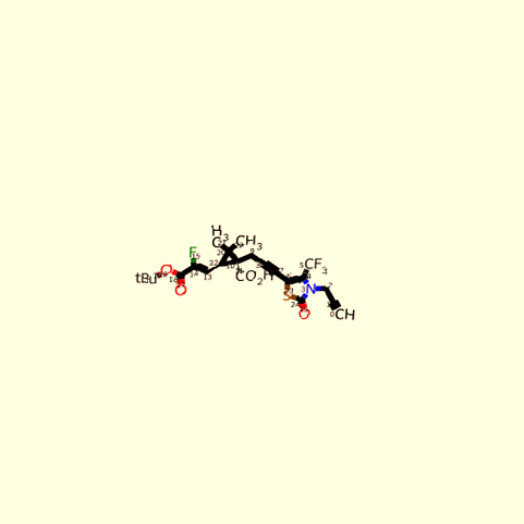 C#CCn1c(C(F)(F)F)c(C#CC[C@@]2(C(=O)O)[C@@H](C=C(F)C(=O)OC(C)(C)C)C2(C)C)sc1=O